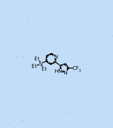 CC[Si](CC)(CC)c1ccnc(-c2cc(C(F)(F)F)n[nH]2)c1